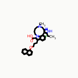 CCc1[nH]nc2c1-c1c(F)ccc3c(CCCOc4cccc5ccccc45)c(C(=O)O)n(c13)CCCCN(C)C2